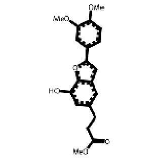 COC(=O)CCc1cc(O)c2oc(-c3ccc(OC)c(OC)c3)cc2c1